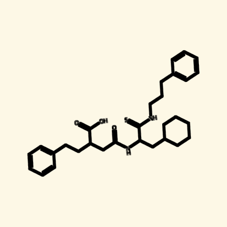 O=C(CC(CCc1ccccc1)C(=O)O)NC(CC1CCCCC1)C(=S)NCCCc1ccccc1